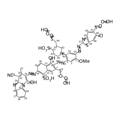 COc1cc(N=Nc2c(SOOO)cc3c(S(=O)(=O)O)c(N=Nc4c(C)c(C#N)c5nc6ccccc6n5c4O)ccc3c2O)c(N(CCCSOOO)CCCS(=O)(=O)O)cc1N=Nc1nc2cc(SOOO)c(Cl)cc2s1